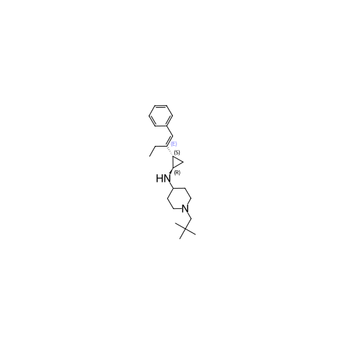 CC/C(=C\c1ccccc1)[C@@H]1C[C@H]1NC1CCN(CC(C)(C)C)CC1